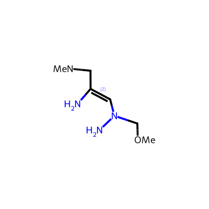 CNC/C(N)=C/N(N)COC